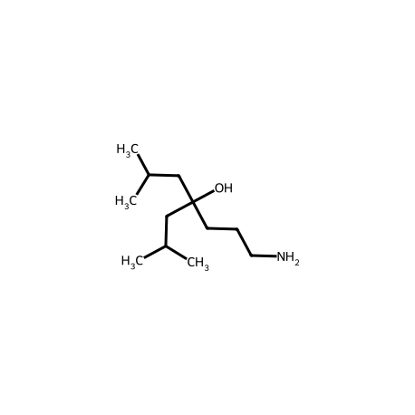 CC(C)CC(O)(CCCN)CC(C)C